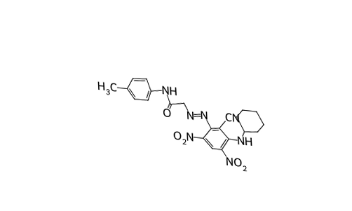 Cc1ccc(NC(=O)CN=Nc2c([N+](=O)[O-])cc([N+](=O)[O-])c(NC3CCCCC3)c2C#N)cc1